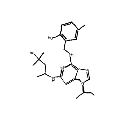 CC(CC(C)(C)O)Nc1nc(NCc2cc(I)ccc2O)c2ncn(C(C)C)c2n1